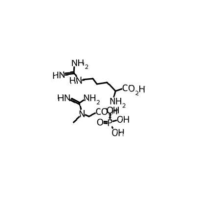 CN(CC(=O)O)C(=N)N.N=C(N)NCCCC(N)C(=O)O.O=P(O)(O)O